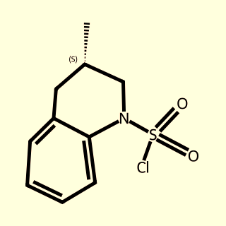 C[C@H]1Cc2ccccc2N(S(=O)(=O)Cl)C1